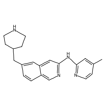 Cc1ccnc(Nc2cc3cc(CC4CCNCC4)ccc3cn2)c1